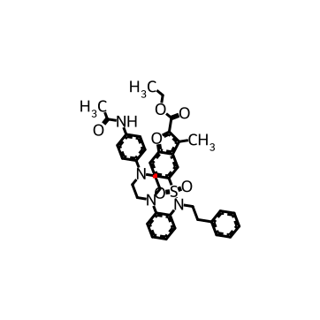 CCOC(=O)c1oc2ccc(S(=O)(=O)N(CCc3ccccc3)c3ccccc3N3CCN(c4ccc(NC(C)=O)cc4)CC3)cc2c1C